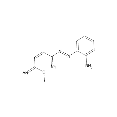 COC(=N)/C=C\C(=N)/N=N/c1ccccc1N